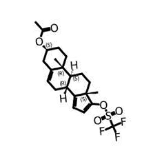 CC(=O)O[C@H]1CC[C@@]2(C)C(=CC[C@H]3C4=CC=C(OS(=O)(=O)C(F)(F)F)[C@@]4(C)CC[C@@H]32)C1